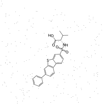 CC(C)[C@H](NS(=O)(=O)c1ccc2c(c1)sc1cc(-c3ccccc3)ccc12)C(=O)O